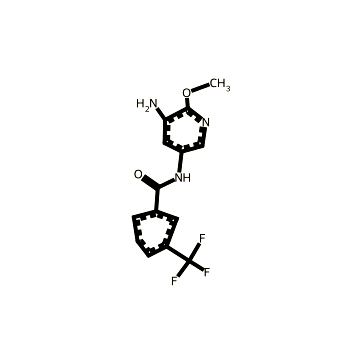 COc1ncc(NC(=O)c2cccc(C(F)(F)F)c2)cc1N